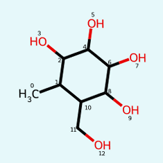 CC1C(O)C(O)C(O)C(O)C1CO